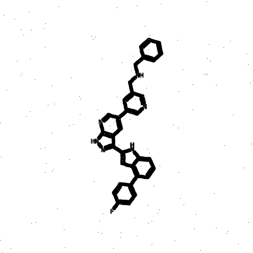 Fc1ccc(-c2cccc3[nH]c(-c4n[nH]c5ncc(-c6cncc(CNCc7ccccc7)c6)cc45)cc23)cc1